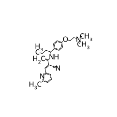 C=C(NC(CCC)c1ccc(OCCN(C)C)cc1)/C(C#N)=C/c1cccc(C)n1